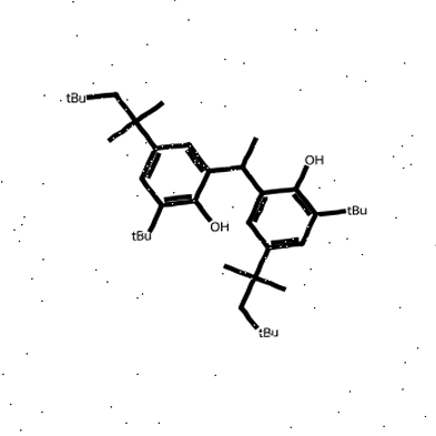 CC(c1cc(C(C)(C)CC(C)(C)C)cc(C(C)(C)C)c1O)c1cc(C(C)(C)CC(C)(C)C)cc(C(C)(C)C)c1O